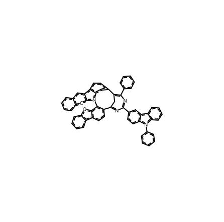 c1ccc(C2=C3CC(=NC(c4ccc5c(c4)c4ccccc4n5-c4ccccc4)=N2)c2ccc4c(oc5ccccc54)c2-n2c4cc3ccc4c3cc4ccccc4cc32)cc1